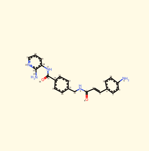 Nc1ccc(C=CC(=O)NCc2ccc(C(=O)Nc3cccnc3N)cc2)cc1